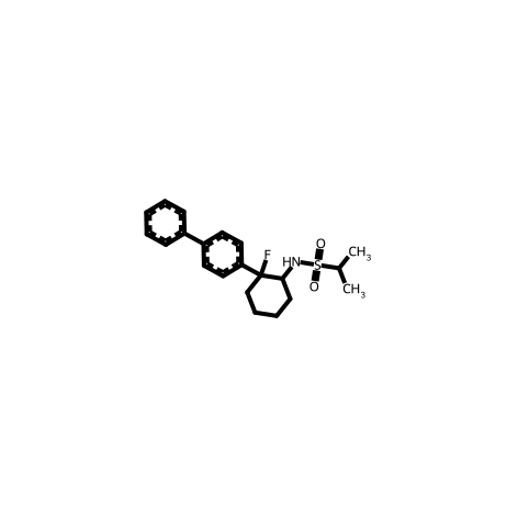 CC(C)S(=O)(=O)NC1CCCCC1(F)c1ccc(-c2ccccc2)cc1